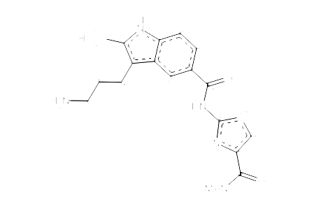 CNC(=O)c1csc(NC(=O)c2ccc3[nH]c(C(=O)O)c(CCCN)c3c2)n1